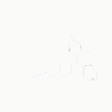 N#CCCN1CCC(C2c3ccccc3CCc3cc(I)ccc32)CC1